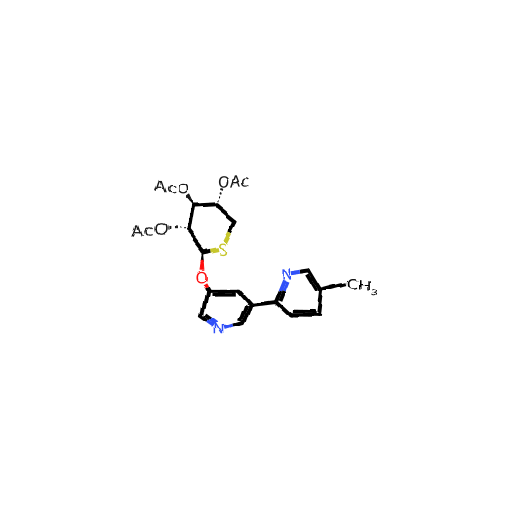 CC(=O)O[C@@H]1[C@@H](OC(C)=O)[C@H](OC(C)=O)CS[C@H]1Oc1cncc(-c2ccc(C)cn2)c1